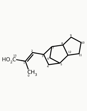 C/C(=C\C1CC2CC1C1CCCC21)C(=O)O